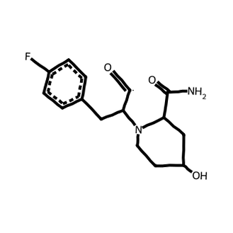 NC(=O)C1CC(O)CCN1C([C]=O)Cc1ccc(F)cc1